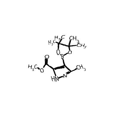 COC(=O)c1[nH]nc(C)c1B1OC(C)(C)C(C)(C)O1